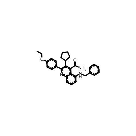 CCOc1ccc(-c2nc3cccc(NCc4ccccc4)c3c(C(N)=O)c2C2CCCC2)cc1